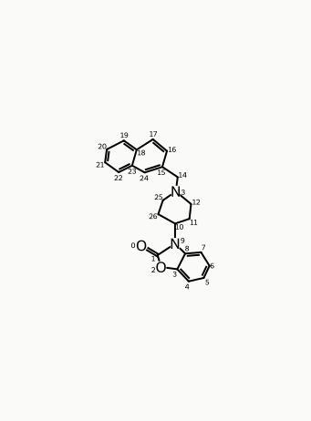 O=c1oc2ccccc2n1C1CCN(Cc2ccc3ccccc3c2)CC1